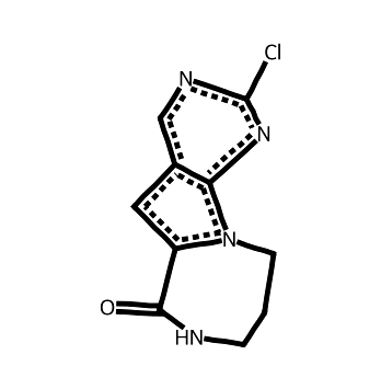 O=C1NCCCn2c1cc1cnc(Cl)nc12